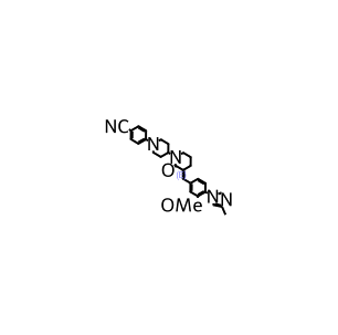 COc1cc(/C=C2\CCCN(C3CCN(c4ccc(C#N)cc4)CC3)C2=O)ccc1-n1cnc(C)c1